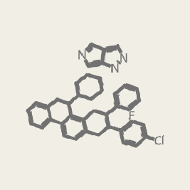 C1=NC=C2N=NC=C12.Fc1ccccc1C1Cc2c(ccc3c2C(C2CCCCC2)Cc2ccccc2-3)CC1c1ccc(Cl)cc1